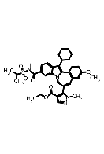 CCOC(=O)c1cnn(C)c1C1=Cc2cc(OC)ccc2-c2c(C3CCCCC3)c3ccc(C(=O)NS(=O)(=O)C(C)C)cc3n2C1